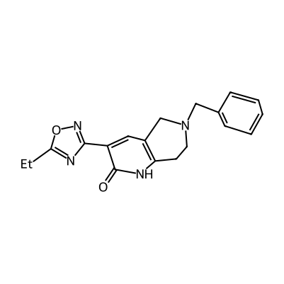 CCc1nc(-c2cc3c([nH]c2=O)CCN(Cc2ccccc2)C3)no1